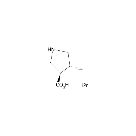 CC(C)C[C@H]1CNC[C@@H]1C(=O)O